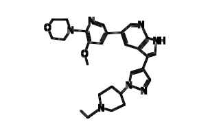 CCN1CCC(n2cc(-c3c[nH]c4ncc(-c5cnc(N6CCOCC6)c(OC)c5)cc34)cn2)CC1